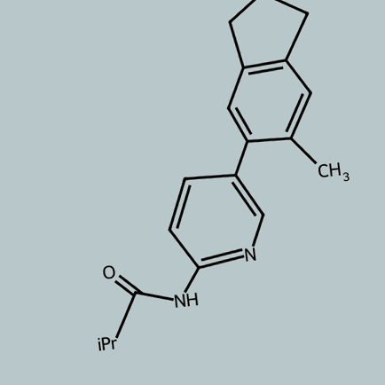 Cc1cc2c(cc1-c1ccc(NC(=O)C(C)C)nc1)CCC2